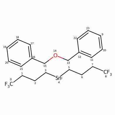 FC(F)(F)CC[CH2][Sn][CH2]CCC(F)(F)F.c1ccc(COCc2ccccc2)cc1